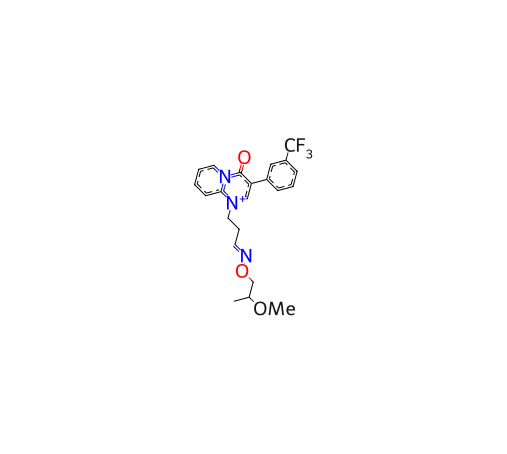 COC(C)CON=CCC[n+]1cc(-c2cccc(C(F)(F)F)c2)c(=O)n2ccccc21